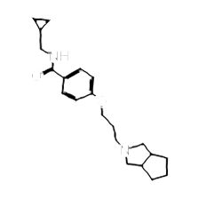 O=C(NCC1CC1)c1ccc(OCCCN2CC3CCCC3C2)cc1